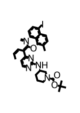 C=N/C(Oc1c(C)ccc2c(I)cccc12)=C(\C=C/C)c1ccnc(N[C@H]2CCCN(C(=O)OC(C)(C)C)C2)n1